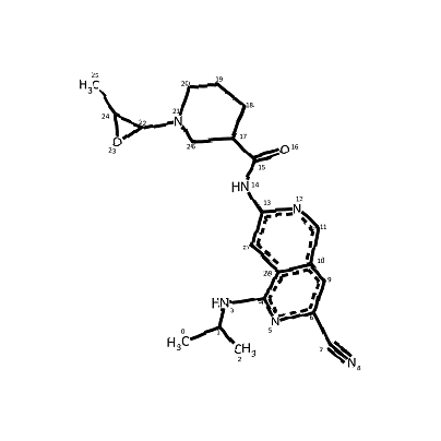 CC(C)Nc1nc(C#N)cc2cnc(NC(=O)C3CCCN(C4OC4C)C3)cc12